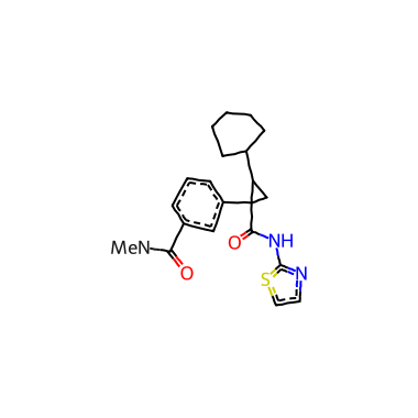 CNC(=O)c1cccc(C2(C(=O)Nc3nccs3)CC2C2CCCCC2)c1